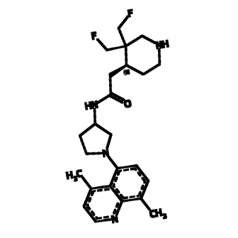 Cc1ccc(N2CCC(NC(=O)C[C@@H]3CCNCC3(CF)CF)C2)c2c(C)ccnc12